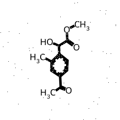 COC(=O)C(O)c1ccc(C(C)=O)cc1C